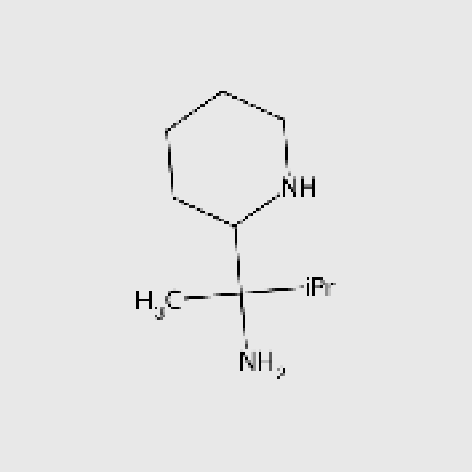 CC(C)C(C)(N)C1CCCCN1